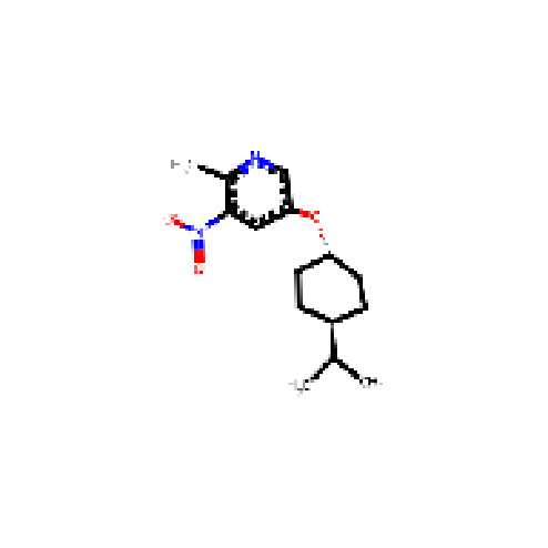 Cc1ncc(O[C@H]2CC[C@H](C(C)C)CC2)cc1[N+](=O)[O-]